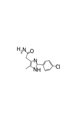 Cc1[nH]c(-c2ccc(Cl)cc2)nc1CC(N)=O